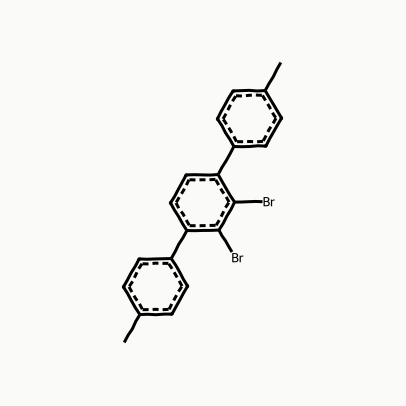 Cc1ccc(-c2ccc(-c3ccc(C)cc3)c(Br)c2Br)cc1